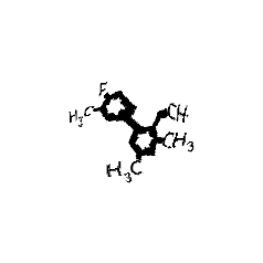 [CH]=Cc1c(C)cc(C)cc1-c1ccc(F)c(C)c1